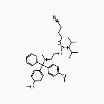 COc1ccc(C(c2ccccc2)(c2ccc(OC)cc2)N(C)CCOP(OCCCC#N)N(C(C)C)C(C)C)cc1